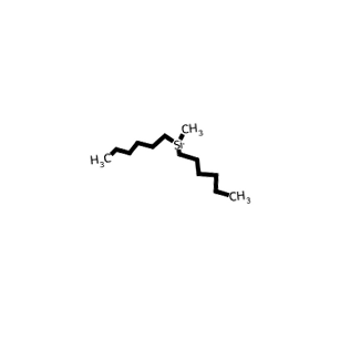 CCCCCC[Si](C)CCCCCC